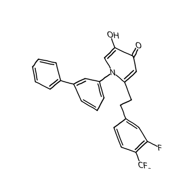 O=c1cc(CCc2ccc(C(F)(F)F)c(F)c2)n(-c2cccc(-c3ccccc3)c2)cc1O